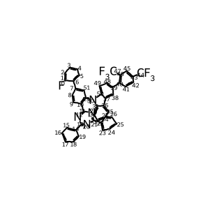 Fc1ccccc1-c1ccc(-c2nc(-c3ccccc3)nc(-c3ccccc3)n2)c(-n2c3ccccc3c3cc(-c4ccc(C(F)(F)F)cc4C(F)(F)F)ccc32)c1